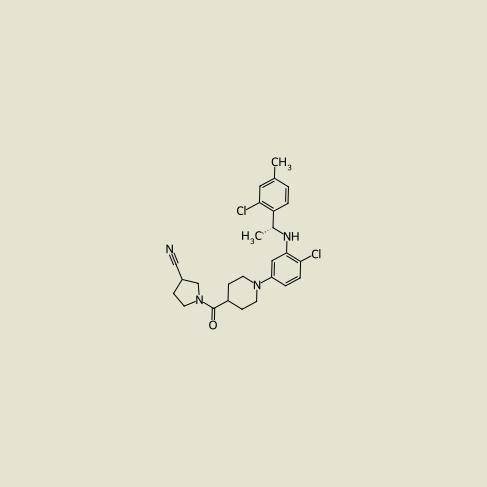 Cc1ccc([C@@H](C)Nc2cc(N3CCC(C(=O)N4CCC(C#N)C4)CC3)ccc2Cl)c(Cl)c1